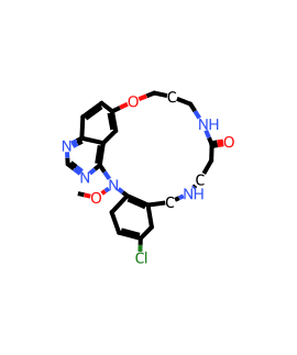 CON1C2=C(CNCCC(=O)NCCCOc3ccc4ncnc1c4c3)CC(Cl)=CC2